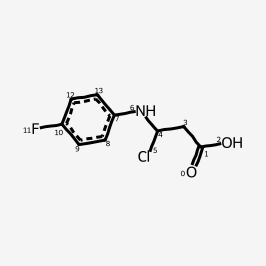 O=C(O)CC(Cl)Nc1ccc(F)cc1